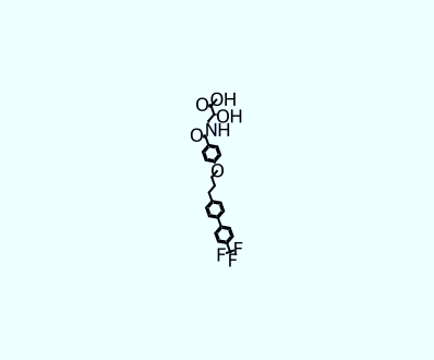 O=C(NC[C@H](O)C(=O)O)c1ccc(OCCCc2ccc(-c3ccc(C(F)(F)F)cc3)cc2)cc1